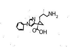 C[C@H](CN)C[C@H]1C[C@]1(C(=O)O)c1cn(-c2ccccc2)cn1